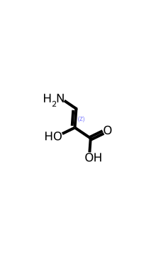 N/C=C(\O)C(=O)O